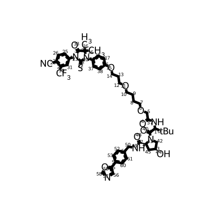 CC(C)(C)C(NC(=O)COCCCCOCCCOc1ccc(N2C(=S)N(c3ccc(C#N)c(C(F)(F)F)c3)C(=O)C2(C)C)cc1)C(=O)N1C[C@H](O)C[C@H]1C(=O)NCc1ccc(-c2cnco2)cc1